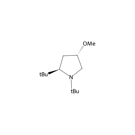 CO[C@H]1C[C@H](C(C)(C)C)N(C(C)(C)C)C1